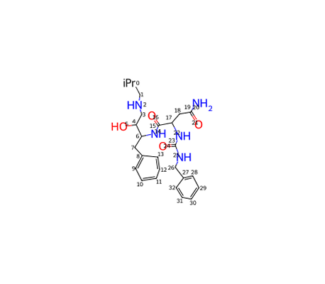 CC(C)CNCC(O)C(Cc1ccccc1)NC(=O)C(CC(N)=O)NC(=O)NCc1ccccc1